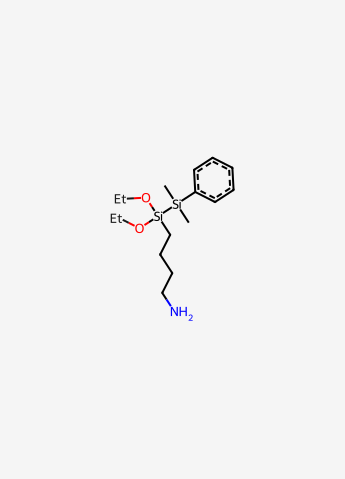 CCO[Si](CCCCN)(OCC)[Si](C)(C)c1ccccc1